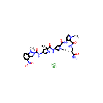 CN1c2cccc([N+](=O)[O-])c2CN1C(=O)NC1=CC(C)(C(=O)Nc2cc(C(=O)Nc3ccn(C)c3C(=O)NCCC(N)=O)n(C)c2)N=C1.Cl.Cl